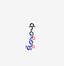 Cc1cccc(C)c1/C=C/C1CCN(C(=O)CN2CCN(C(=O)c3cnccn3)CC2)CC1